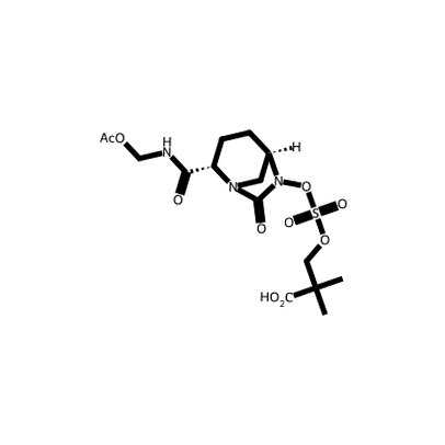 CC(=O)OCNC(=O)[C@@H]1CC[C@@H]2CN1C(=O)N2OS(=O)(=O)OCC(C)(C)C(=O)O